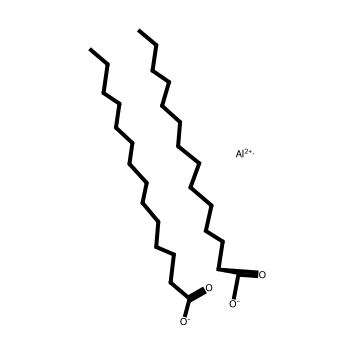 CCCCCCCCCCCCCC(=O)[O-].CCCCCCCCCCCCCC(=O)[O-].[Al+2]